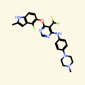 Cc1cc2c(F)c(Oc3ncnc(Nc4ccc(N5CCN(C)CC5)cc4)c3C(F)F)ccc2[nH]1